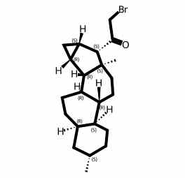 C[C@H]1CC[C@H]2[C@H](CC[C@@H]3[C@@H]2CC[C@@]2(C)[C@H]3[C@@H]3C[C@@H]3[C@@H]2C(=O)CBr)C1